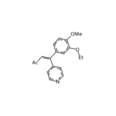 CCOc1cc(C(=CC(C)=O)c2ccncc2)ccc1OC